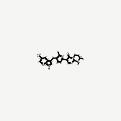 Cc1nc(-c2cnc3n(c2=O)CCC(C)N3C)ccc1Cc1c[nH]c2ncc(Cl)cc12